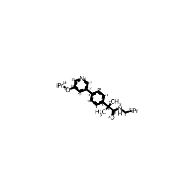 CC(C)CNC(=O)C(C)(C)c1ccc(-c2cncc(OC(C)C)c2)cc1